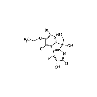 OCC(O)(c1cc(I)c(O)c(Cl)n1)c1cc(Br)c(OCC(F)(F)F)c(Cl)n1